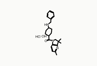 Cc1ccc2c(n1)C(C)(C)CN2C(=O)C1CCC(NCc2ccccc2)CC1.Cl.Cl